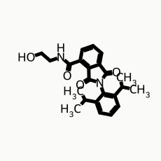 CC(C)c1cccc(C(C)C)c1N1C(=O)c2cccc(C(=O)NCCO)c2C1=O